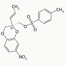 CC=C[C@]1(COS(=O)(=O)c2ccc(C)cc2)COc2ccc([N+](=O)[O-])cc2O1